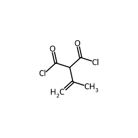 C=C(C)C(C(=O)Cl)C(=O)Cl